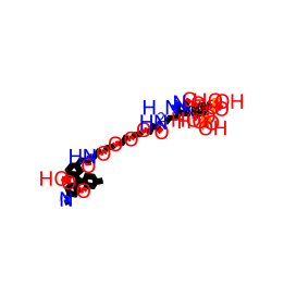 C=c1ccc2c(c1)Oc1cc(N(C)C)ccc1C=2c1cc(CC(=O)NCCOCCOCCOCCOCCC(=O)NCCCc2cn([C@@H]3O[C@H](COP(=O)(O)O)C(OP(=O)(O)O)C3O)c(=O)nc2N)ccc1C(=O)O